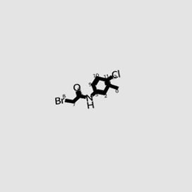 Cc1cc(NC(=O)CBr)ccc1Cl